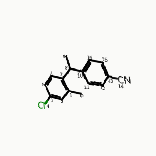 Cc1cc(Cl)ccc1C(C)c1ccc(C#N)cc1